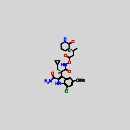 COc1cc(Cl)c2[nH]c(C(N)=O)c([C@H](CC3CC3)C(=O)NOC(=O)CC(C)[C@@H]3CCCNC3=O)c2c1